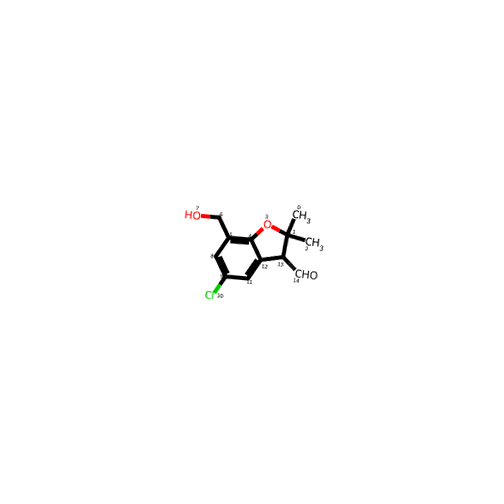 CC1(C)Oc2c(CO)cc(Cl)cc2C1C=O